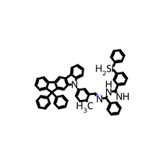 CC1CC=C(n2c3ccccc3c3cc4c(cc32)C(c2ccccc2)(c2ccccc2)c2ccccc2-4)C=C1/C=N/C(NC(=N)c1cccc([SiH2]c2ccccc2)c1)c1ccccc1